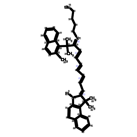 CCN1\C(=C/C=C/C=C/C=C/C(=N/CCCCC(C)(C)C)C(C)(C)c2c(C)ccc3ccccc23)C(C)(C)c2c1ccc1ccccc21